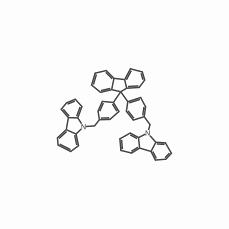 c1ccc2c(c1)-c1ccccc1C2(c1ccc(Cn2c3ccccc3c3ccccc32)cc1)c1ccc(Cn2c3ccccc3c3ccccc32)cc1